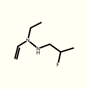 C=CN(CC)NCC(C)F